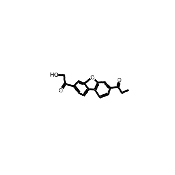 CCC(=O)c1ccc2c(c1)oc1cc(C(=O)CO)ccc12